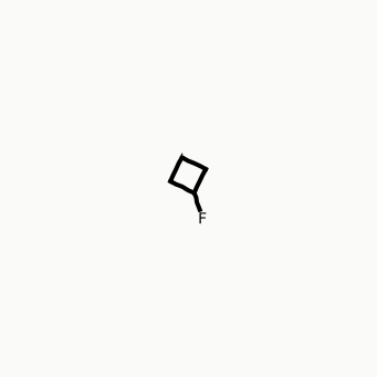 FC1C[CH]C1